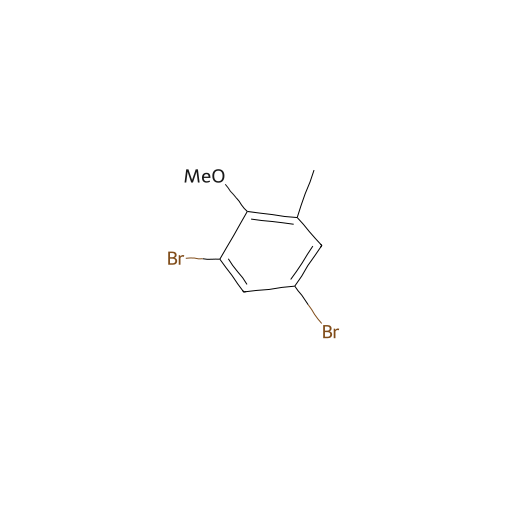 COc1c(C)cc(Br)cc1Br